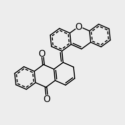 O=C1C2=C(C(=O)c3ccccc31)C(=c1cccc3c1=Cc1ccccc1O3)CC=C2